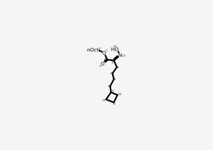 CCCCCCCCOC(=O)/C(CCCCC1CCC1)=N\O